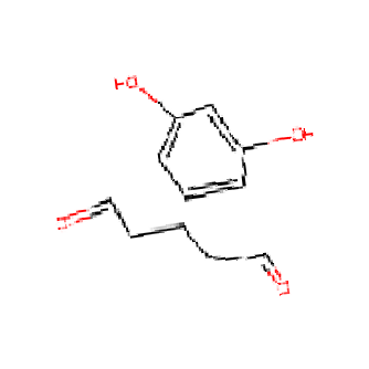 O=CCCCC=O.Oc1cccc(O)c1